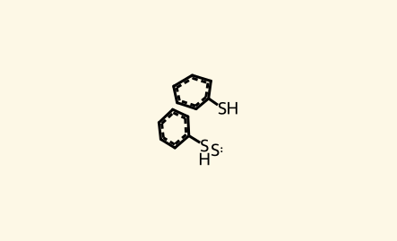 Sc1ccccc1.Sc1ccccc1.[S]